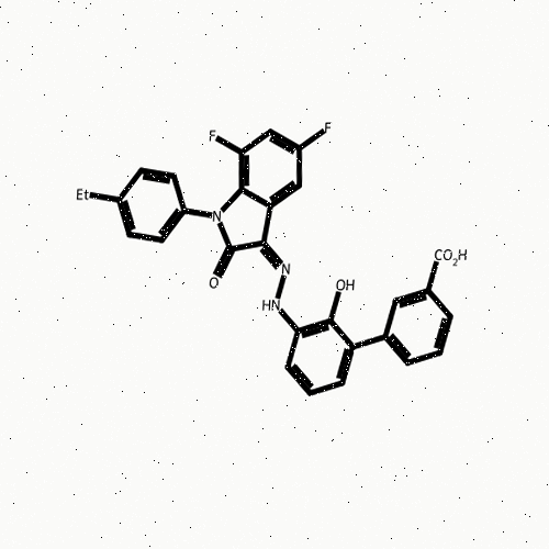 CCc1ccc(N2C(=O)C(=NNc3cccc(-c4cccc(C(=O)O)c4)c3O)c3cc(F)cc(F)c32)cc1